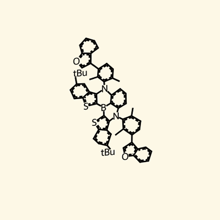 Cc1ccc(-c2coc3ccccc23)c(C)c1N1c2cccc3c2B(c2sc4ccc(C(C)(C)C)cc4c21)c1sc2ccc(C(C)(C)C)cc2c1N3c1c(C)ccc(-c2coc3ccccc23)c1C